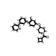 Cc1cc(OC2CCN(C(=O)C3CCC3)CC2)ccc1-c1cccc(-c2ccccn2)c1